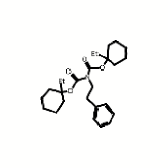 CCC1(OC(=O)N(CCc2ccccc2)C(=O)OC2(CC)CCCCC2)CCCCC1